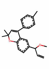 C=CC(OC)c1ccc2c(c1)C(c1ccc(C)cc1)=CC(C)(C)O2